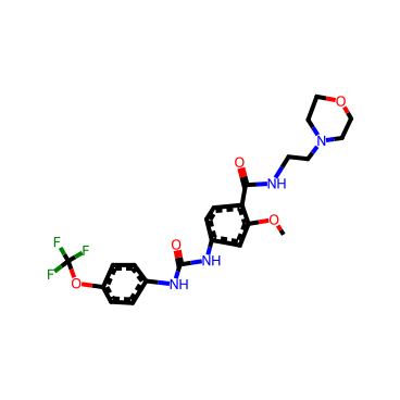 COc1cc(NC(=O)Nc2ccc(OC(F)(F)F)cc2)ccc1C(=O)NCCN1CCOCC1